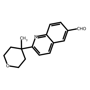 CC1(c2ccc3cc(C=O)ccc3n2)CCOCC1